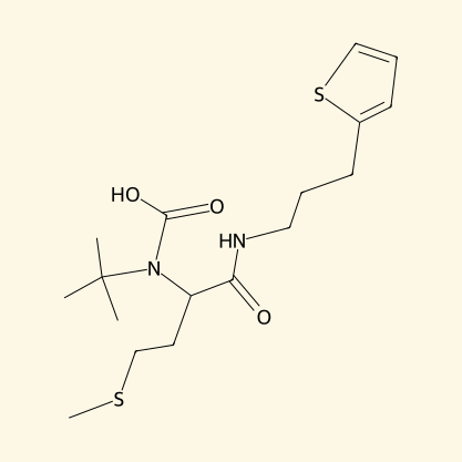 CSCCC(C(=O)NCCCc1cccs1)N(C(=O)O)C(C)(C)C